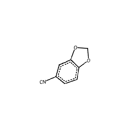 [C-]#[N+]c1ccc2c(c1)OCO2